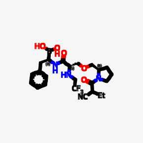 CCC(C#N)C(=O)N1CCC[C@@H]1COC[C@H](NCC(F)(F)F)C(=O)N[C@@H](Cc1ccccc1)B(O)O